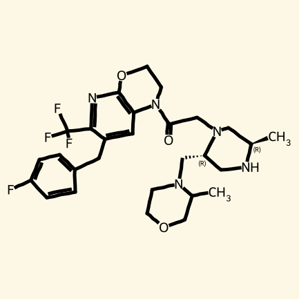 CC1COCCN1C[C@H]1CN[C@H](C)CN1CC(=O)N1CCOc2nc(C(F)(F)F)c(Cc3ccc(F)cc3)cc21